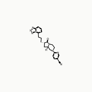 N#Cc1ccc(N2CCN3C(=O)[C@@H](CCCc4cccc5nnnn45)C[C@H]3C2)nc1